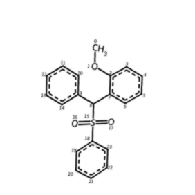 COc1ccccc1C(c1ccccc1)S(=O)(=O)c1ccccc1